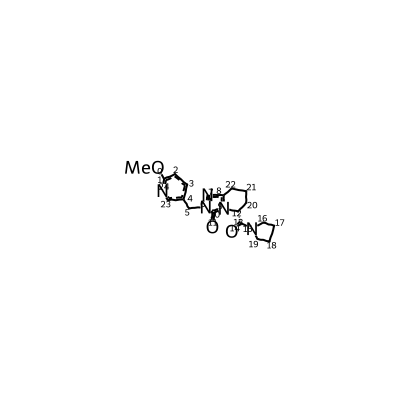 COc1ccc(Cn2nc3n(c2=O)[C@@H](C(=O)N2CCCC2)CCC3)cn1